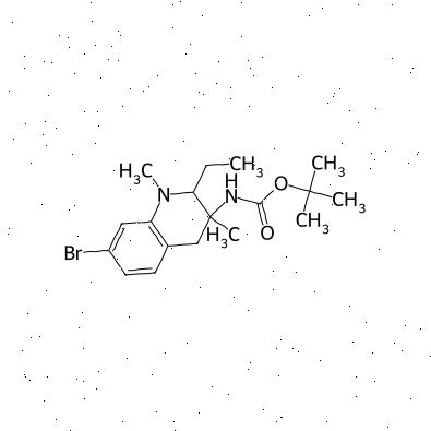 CCC1N(C)c2cc(Br)ccc2CC1(C)NC(=O)OC(C)(C)C